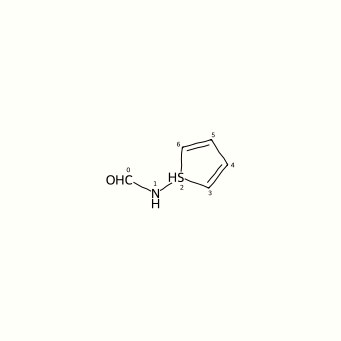 O=CN[SH]1C=CC=C1